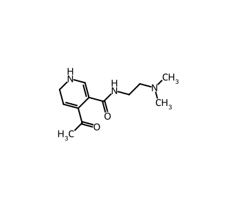 CC(=O)C1=CCNC=C1C(=O)NCCN(C)C